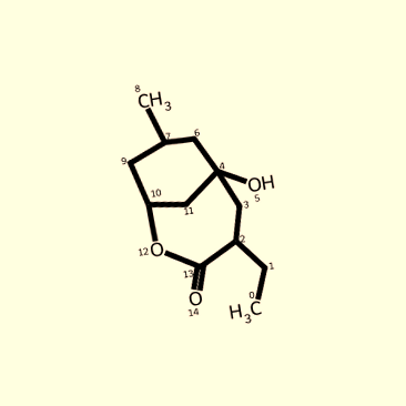 CCC1CC2(O)CC(C)CC(C2)OC1=O